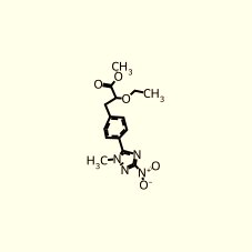 CCOC(Cc1ccc(-c2nc([N+](=O)[O-])nn2C)cc1)C(=O)OC